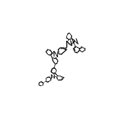 c1ccc(-c2ccc(-n3c4ccccc4c4cc(-c5ccc6c(c5)c5ccccc5n6-c5ccc(-n6c(-c7cccc8ccccc78)nc7ccccc76)cc5)ccc43)cc2)cc1